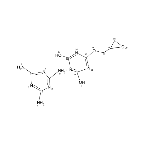 Nc1nc(N)nc(N)n1.Oc1nc(O)nc(OCC2CO2)n1